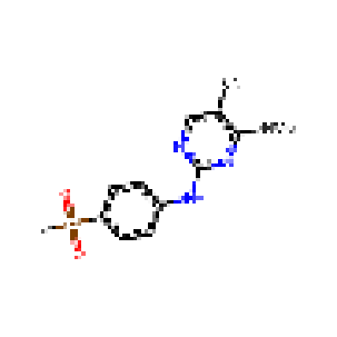 CNc1nc(Nc2ccc(S(C)(=O)=O)cc2)ncc1C#N